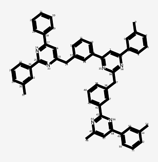 Cc1cccc(-c2cc(-c3cccc(Cc4cc(-c5ccccc5)nc(-c5cccc(C)c5)n4)c3)nc(Cc3cccc(-c4nc(C)cc(-c5cccc(C)c5)n4)c3)n2)c1